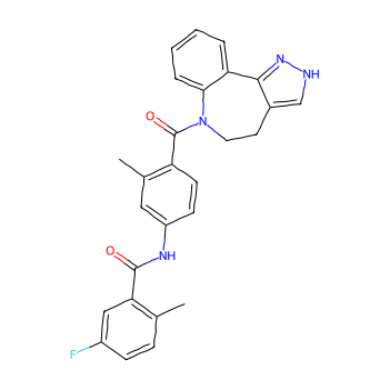 Cc1ccc(F)cc1C(=O)Nc1ccc(C(=O)N2CCc3c[nH]nc3-c3ccccc32)c(C)c1